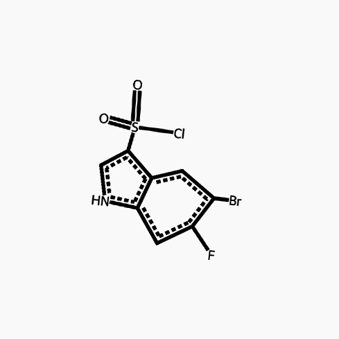 O=S(=O)(Cl)c1c[nH]c2cc(F)c(Br)cc12